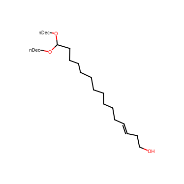 CCCCCCCCCCOC(CCCCCCCCCC/C=C/CCO)OCCCCCCCCCC